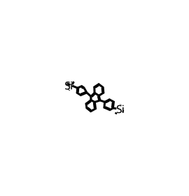 C[Si](C)(C)c1ccc(-c2c3ccccc3c(-c3ccc([Si](C)(C)C)cc3)c3ccccc23)cc1